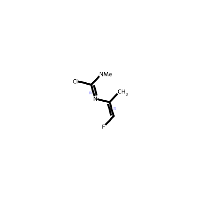 CN/C(Cl)=N\C(C)=C/F